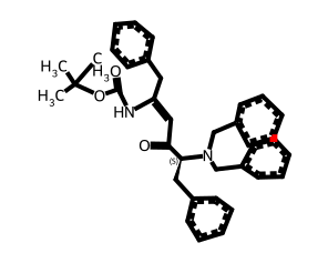 CC(C)(C)OC(=O)NC(=CC(=O)[C@H](Cc1ccccc1)N(Cc1ccccc1)Cc1ccccc1)Cc1ccccc1